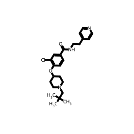 CC(C)(C)CN1CCC(Oc2ccc(C(=O)NCCc3ccncc3)cc2Cl)CC1